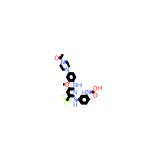 COc1cc(N2CCN(C(C)=O)CC2)ccc1Nc1ccc(C(F)(F)F)c(Nc2cccc(NC(=O)O)c2)n1